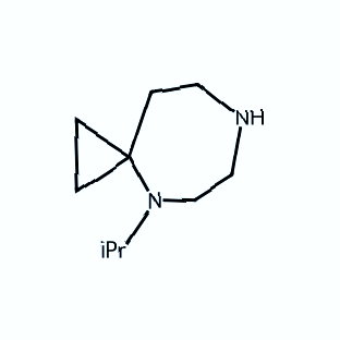 CC(C)N1CCNCCC12CC2